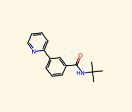 CC(C)(C)NC(=O)c1cccc(-c2ccccn2)c1